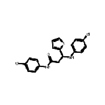 O=C(CC(Nc1ccc(Cl)cc1)c1cccs1)Nc1ccc(Cl)cc1